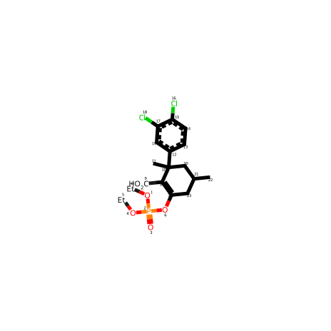 CCOP(=O)(OCC)OC1=C(C(=O)O)C(C)(c2ccc(Cl)c(Cl)c2)CC(C)C1